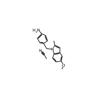 CC#N.COc1ccc2c(c1)cc(C)n2Cc1ccc(N)cc1